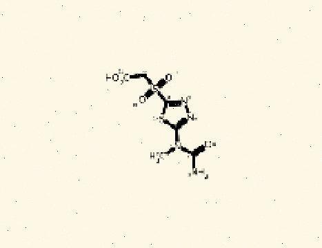 CN(C(N)=O)c1nnc(S(=O)(=O)CC(=O)O)s1